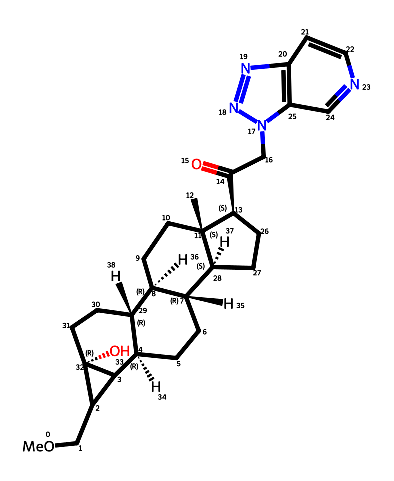 COCC1C2[C@@H]3CC[C@@H]4[C@H](CC[C@]5(C)[C@@H](C(=O)Cn6nnc7ccncc76)CC[C@@H]45)[C@H]3CC[C@]12O